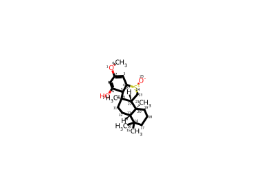 COC1=CC2C(C(O)=C1)[C@]1(C)CC[C@H]3C(C)(C)CCC[C@]3(C)[C@H]1C[S+]2[O-]